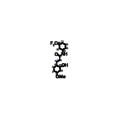 COc1ccc(/C=C/C(=O)Nc2cccc(C(F)(F)F)c2)c(O)c1